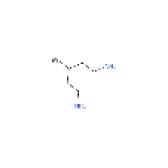 CC(C)C(CCN)CCN